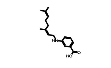 CC(C)=CCCC(C)=CCNc1cccc(C(=O)O)c1